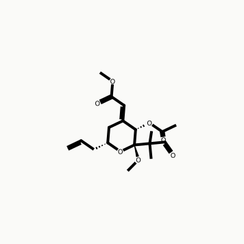 C=CC[C@@H]1C/C(=C\C(=O)OC)[C@H](OC(C)=O)[C@](OC)(C(C)(C)C=O)O1